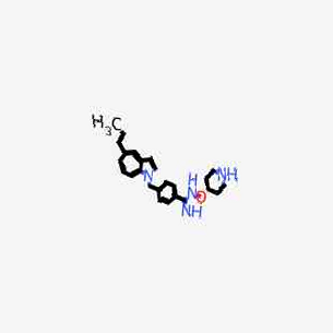 CCCC1C=CC=c2c(ccn2Cc2ccc(C(=N)NOC3CCNCC3)cc2)=C1